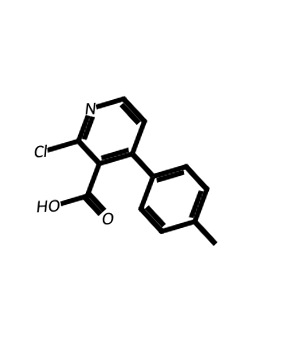 Cc1ccc(-c2ccnc(Cl)c2C(=O)O)cc1